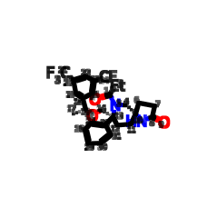 CCC(=O)N1C[C@@]2(CCC(=O)N2)CC[C@@]1(CO[C@H](C)c1cc(C(F)(F)F)cc(C(F)(F)F)c1)c1ccccc1